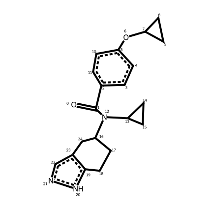 O=C(c1ccc(OC2CC2)cc1)N(C1CC1)C1CCc2[nH]ncc2C1